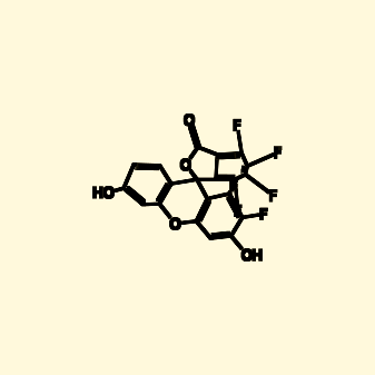 O=C1OC2(c3ccc(O)cc3Oc3cc(O)c(F)c(F)c32)c2c(F)c(F)c(F)c(F)c21